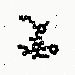 C=CCCOc1cc(F)ccc1CNC(=O)c1cn(NC(=O)OC(C)(C)C)c(C(=O)NC)c(OCc2ccccc2)c1=O